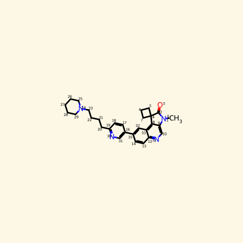 CN1C(=O)C2(CCC2)c2c1cnc1ccc(-c3ccc(CCCCN4CCCCC4)nc3)cc21